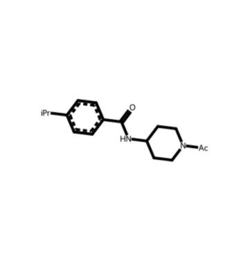 CC(=O)N1CCC(NC(=O)c2ccc(C(C)C)cc2)CC1